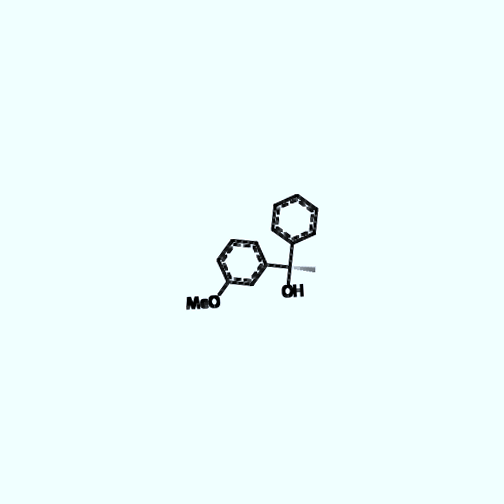 COc1cccc([C@](C)(O)c2ccccc2)c1